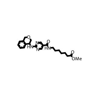 COC(=O)CCCCCCNC(=O)c1cnc(NC2COCc3ccccc32)nc1